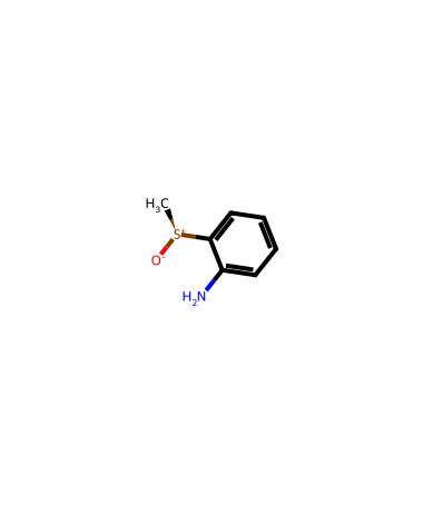 C[S@+]([O-])c1ccccc1N